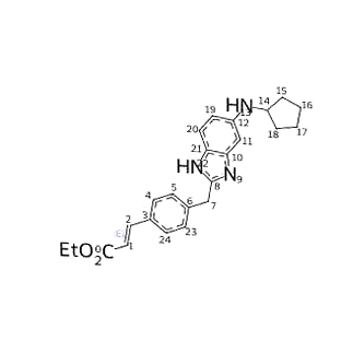 CCOC(=O)/C=C/c1ccc(Cc2nc3cc(NC4CCCC4)ccc3[nH]2)cc1